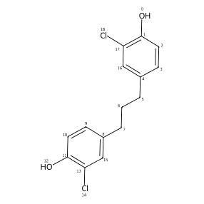 Oc1ccc(CCCc2ccc(O)c(Cl)c2)cc1Cl